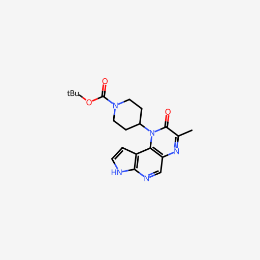 Cc1nc2cnc3[nH]ccc3c2n(C2CCN(C(=O)OC(C)(C)C)CC2)c1=O